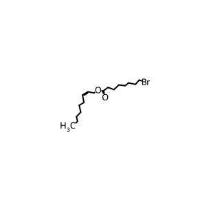 CCCCCC/C=C\COC(=O)CCCCCCCBr